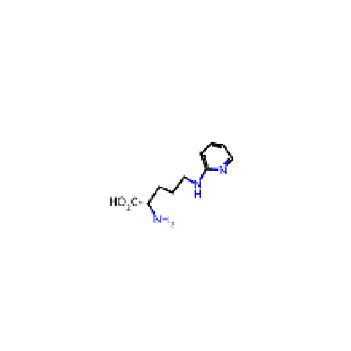 N[C@@H](CCCNc1ccccn1)C(=O)O